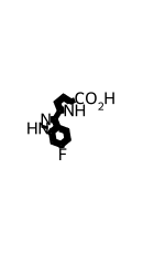 O=C(O)c1ccc(-c2n[nH]c3cc(F)ccc23)[nH]1